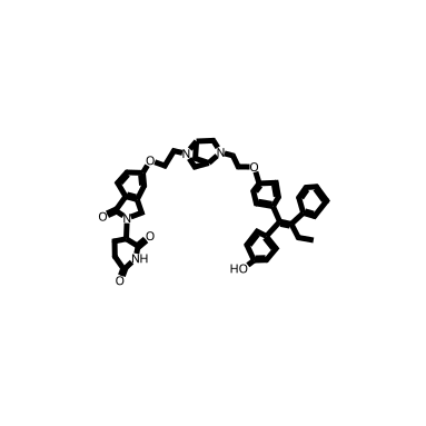 CCC(=C(c1ccc(O)cc1)c1ccc(OCCN2CC3CC2CN3CCOc2ccc3c(c2)CN(C2CCC(=O)NC2=O)C3=O)cc1)c1ccccc1